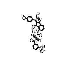 COc1ccc(-c2[nH]nc3c2C(=O)c2c(NC(=O)NNC(=O)c4cccc([N+](=O)[O-])c4)cccc2-3)cc1